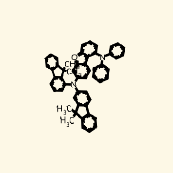 CC1(C)c2ccccc2-c2ccc(N(c3ccc4c(c3)oc3cccc(N(c5ccccc5)c5ccccc5)c34)c3cccc4c3C(C)(C)c3ccccc3-4)cc21